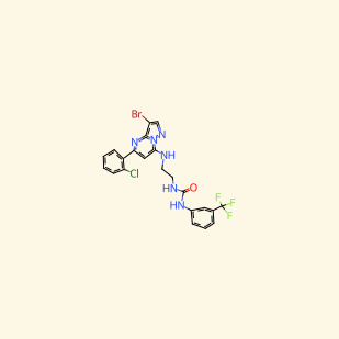 O=C(NCCNc1cc(-c2ccccc2Cl)nc2c(Br)cnn12)Nc1cccc(C(F)(F)F)c1